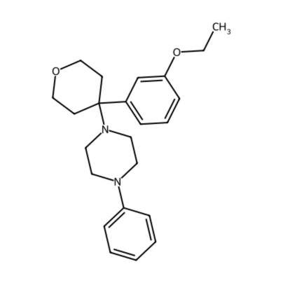 CCOc1cccc(C2(N3CCN(c4ccccc4)CC3)CCOCC2)c1